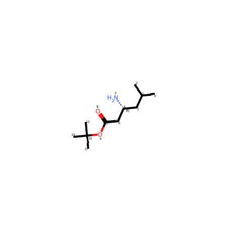 CC(C)C[C@@H](N)CC(=O)OC(C)(C)C